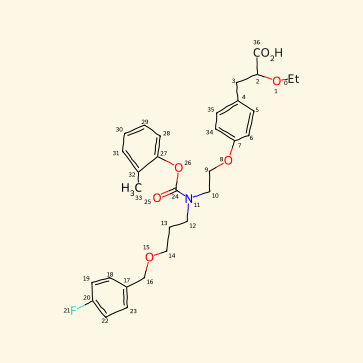 CCOC(Cc1ccc(OCCN(CCCOCc2ccc(F)cc2)C(=O)Oc2ccccc2C)cc1)C(=O)O